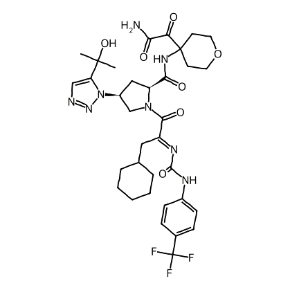 CC(C)(O)c1cnnn1[C@H]1C[C@@H](C(=O)NC2(C(=O)C(N)=O)CCOCC2)N(C(=O)/C(CC2CCCCC2)=N/C(=O)Nc2ccc(C(F)(F)F)cc2)C1